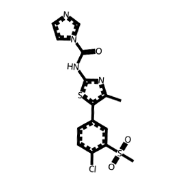 Cc1nc(NC(=O)n2ccnc2)sc1-c1ccc(Cl)c(S(C)(=O)=O)c1